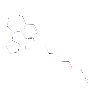 C#CCOCCOCCOc1ccc2c3c1[C@H]1CCC[C@H]1N3CCNC2